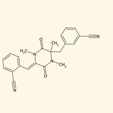 CN1C(=O)C(C)(Cc2cccc(C#N)c2)N(C)C(=O)/C1=C/c1ccccc1C#N